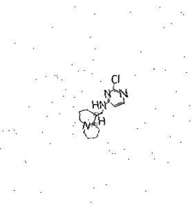 Clc1nccc(NC[C@@H]2CCCN3CCCC[C@H]23)n1